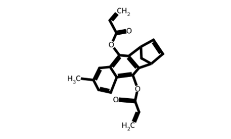 C=CC(=O)Oc1c2c(c(OC(=O)C=C)c3cc(C)ccc13)C1C=CC2C1